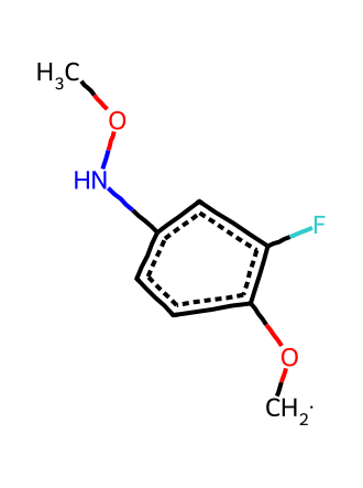 [CH2]Oc1ccc(NOC)cc1F